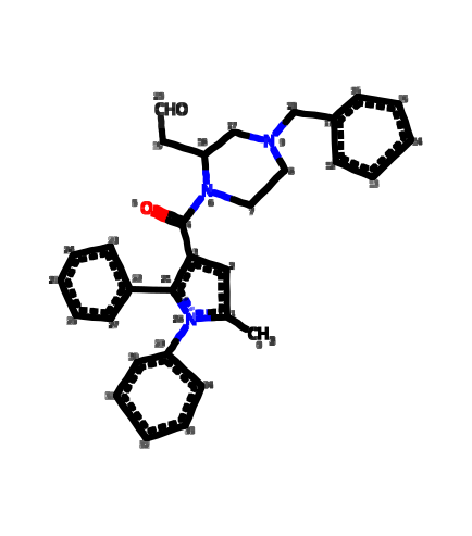 Cc1cc(C(=O)N2CCN(Cc3ccccc3)CC2CC=O)c(-c2ccccc2)n1-c1ccccc1